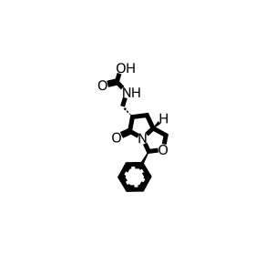 O=C(O)NC[C@@H]1C[C@@H]2CO[C@@H](c3ccccc3)N2C1=O